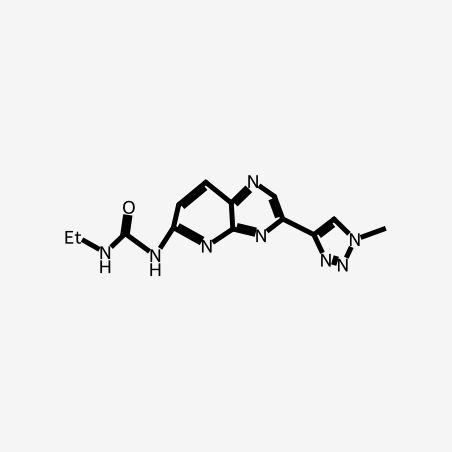 CCNC(=O)Nc1ccc2ncc(-c3cn(C)nn3)nc2n1